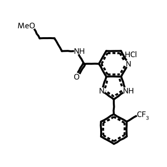 COCCCNC(=O)c1ccnc2[nH]c(-c3ccccc3C(F)(F)F)nc12.Cl